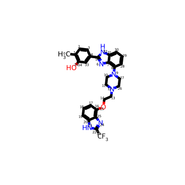 Cc1ccc(-c2nc3c(N4CCN(CCOc5cccc6[nH]c(C(F)(F)F)nc56)CC4)cccc3[nH]2)cc1O